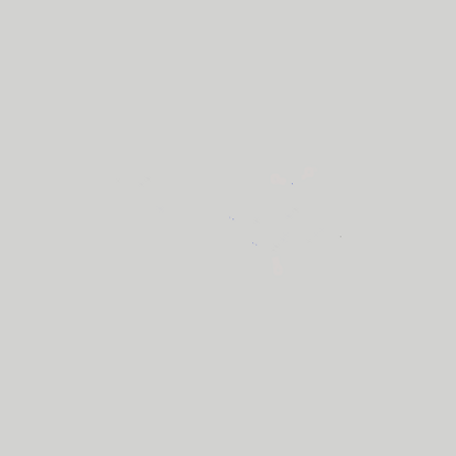 O=c1nc(N2CCC(c3ccc(Cl)cc3)CC2)sc2c([N+](=O)[O-])cc(C(F)(F)F)cc12